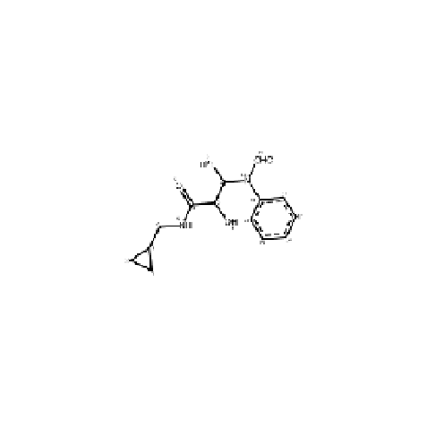 CCCC(C(O)C(=O)NCC1CC1)N(C=O)c1ccccc1